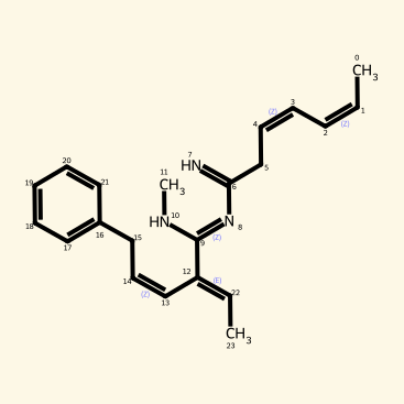 C/C=C\C=C/CC(=N)/N=C(NC)/C(/C=C\Cc1ccccc1)=C/C